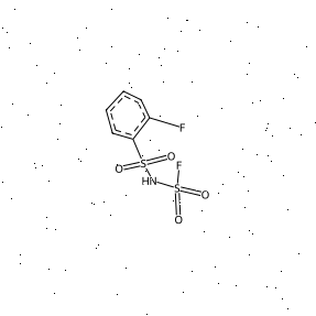 O=S(=O)(F)NS(=O)(=O)c1ccccc1F